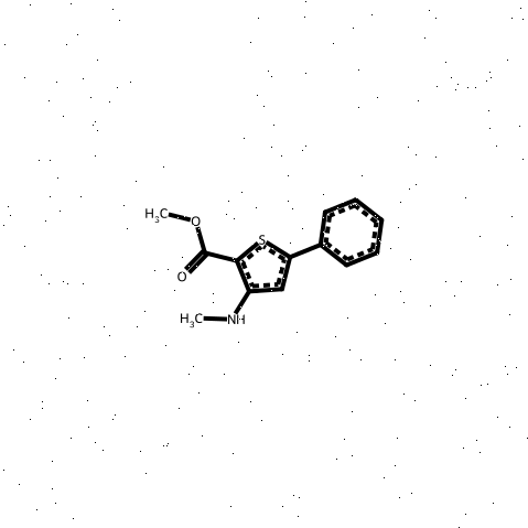 CNc1cc(-c2ccccc2)sc1C(=O)OC